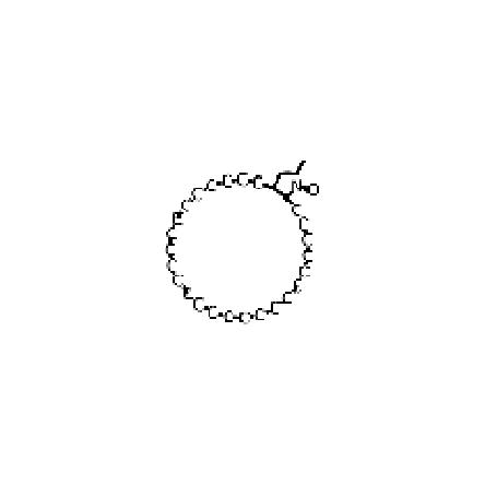 CCCC1CCCCCCCCCCCCCCCCCCCCCCCCCC1N=O